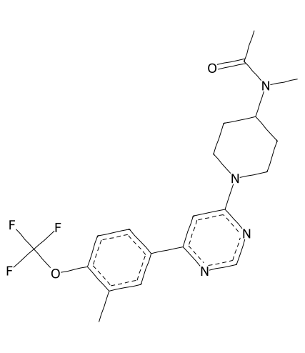 CC(=O)N(C)C1CCN(c2cc(-c3ccc(OC(F)(F)F)c(C)c3)ncn2)CC1